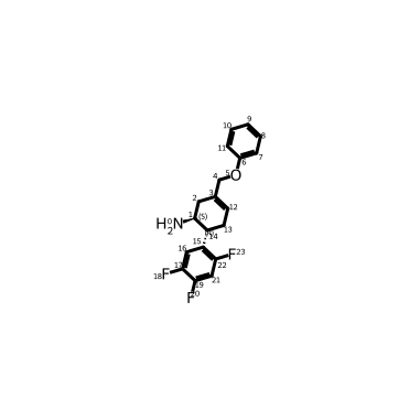 N[C@H]1CC(COc2ccccc2)=CC[C@@H]1c1cc(F)c(F)cc1F